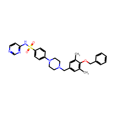 Cc1cc(CN2CCN(c3ccc(S(=O)(=O)Nc4ccncn4)cc3)CC2)cc(C)c1OCc1ccccc1